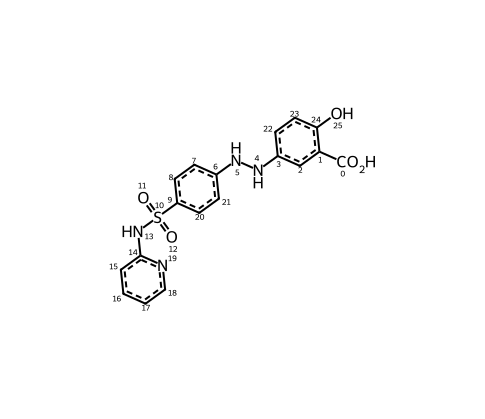 O=C(O)c1cc(NNc2ccc(S(=O)(=O)Nc3ccccn3)cc2)ccc1O